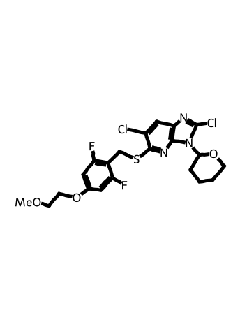 COCCOc1cc(F)c(CSc2nc3c(cc2Cl)nc(Cl)n3C2CCCCO2)c(F)c1